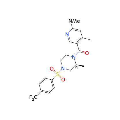 CNc1cc(C)c(C(=O)N2CCN(S(=O)(=O)c3ccc(C(F)(F)F)cc3)C[C@@H]2C)cn1